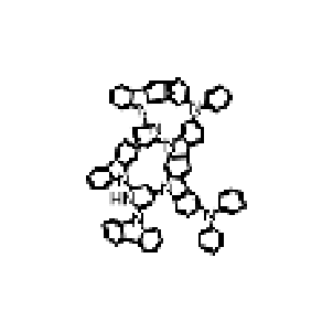 C1=C(n2c3ccc(N(c4ccccc4)c4ccccc4)cc3c3cc4c5ccc(N(c6ccccc6)c6ccccc6)cc5n(-c5cccc(-n6c7ccccc7c7ccccc76)n5)c4cc32)C=C(n2c3ccccc3c3ccccc32)NC1n1c2ccccc2c2ccccc21